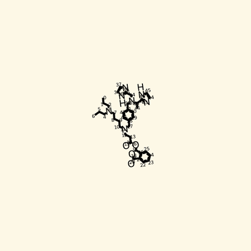 CCCN(CCC)CCCCN(CCC(=O)OC1OC(=O)c2ccccc21)Cc1ccc(CN(Cc2ncc[nH]2)C(C)c2ncc[nH]2)cc1